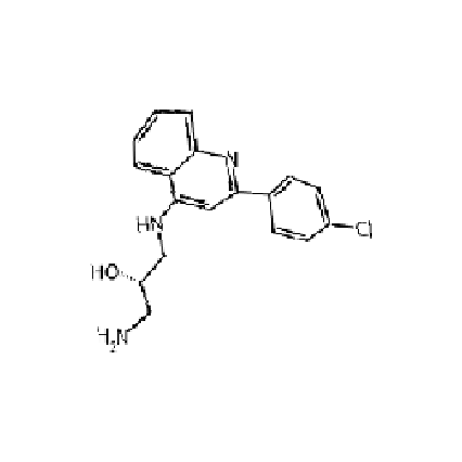 NC[C@H](O)CNc1cc(-c2ccc(Cl)cc2)nc2ccccc12